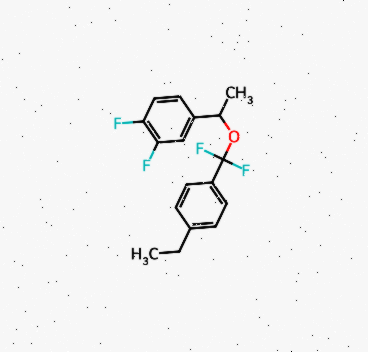 CCc1ccc(C(F)(F)OC(C)c2ccc(F)c(F)c2)cc1